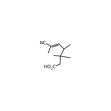 CC(C#N)=CC(C)C(C)(C)CC(=O)O